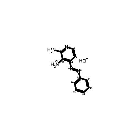 Cl.Nc1nccc(N=Nc2ccccc2)c1N